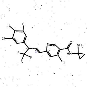 NC1(NC(=O)c2ccc(/C=C/C(c3cc(Cl)c(Cl)c(Cl)c3)C(F)(F)F)cc2Cl)CC1